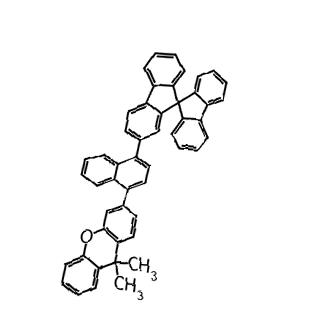 CC1(C)c2ccccc2Oc2cc(-c3ccc(-c4ccc5c(c4)C4(c6ccccc6-c6ccccc64)c4ccccc4-5)c4ccccc34)ccc21